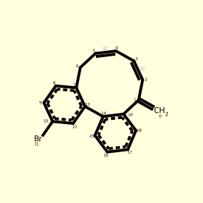 C=C1/C=C\C=C/Cc2ccc(Br)cc2-c2ccccc21